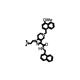 COc1ccc(CN2CCc3c(c(C(=O)NCc4cccc5ccccc45)nn3CCN(C)C)C2)c2ccccc12